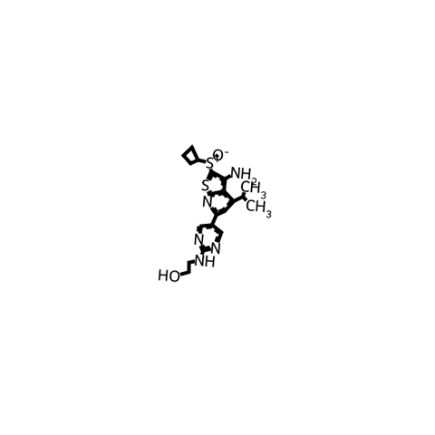 CC(C)c1cc(-c2cnc(NCCO)nc2)nc2sc([S+]([O-])C3CCC3)c(N)c12